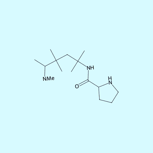 CNC(C)C(C)(C)CC(C)(C)NC(=O)C1CCCN1